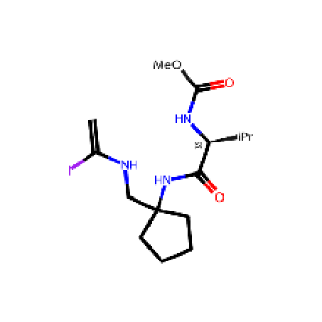 C=C(I)NCC1(NC(=O)[C@@H](NC(=O)OC)C(C)C)CCCC1